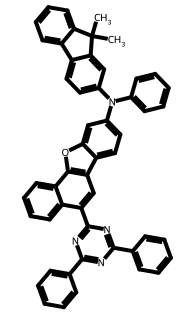 CC1(C)c2ccccc2-c2ccc(N(c3ccccc3)c3ccc4c(c3)oc3c5ccccc5c(-c5nc(-c6ccccc6)nc(-c6ccccc6)n5)cc43)cc21